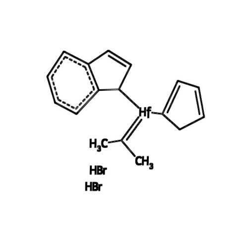 Br.Br.C[C](C)=[Hf]([C]1=CC=CC1)[CH]1C=Cc2ccccc21